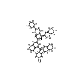 Clc1ccc2c(c1)c1cc3ccccc3cc1n2-c1cc(-c2nc(-c3ccc4ccccc4c3)c3ccc(-c4ccccc4)cc3n2)cc2ccccc12